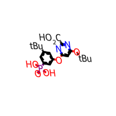 CC(C)(C)Oc1cc(Oc2cc(C(C)(C)C)cc(P(=O)(O)O)c2)nc(C(=O)O)n1